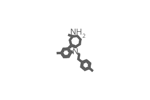 Cc1ccc(CCn2c3c(c4cc(C)ccc42)CC(C)(N)CCC3)cc1